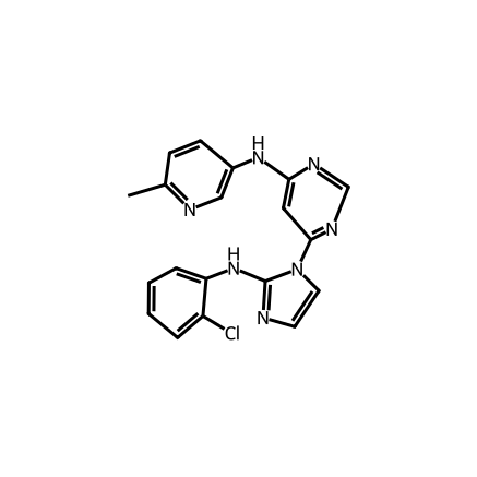 Cc1ccc(Nc2cc(-n3ccnc3Nc3ccccc3Cl)ncn2)cn1